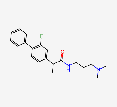 CC(C(=O)NCCCN(C)C)c1ccc(-c2ccccc2)c(F)c1